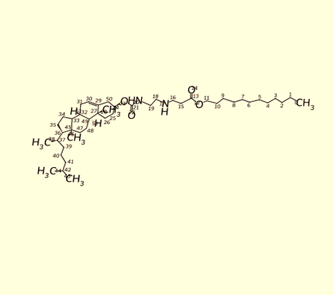 CCCCCCCCCCCCOC(=O)CCNCCNC(=O)O[C@H]1CC[C@@]2(C)C(=CC[C@H]3C4CC[C@H]([C@H](C)CCCC(C)C)[C@@]4(C)CC[C@@H]32)C1